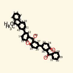 CC1(C)c2ccccc2-c2ccc(-c3ccc4oc5ccc(-c6ccc7oc8ccccc8c(=O)c7c6)cc5c(=O)c4c3)cc21